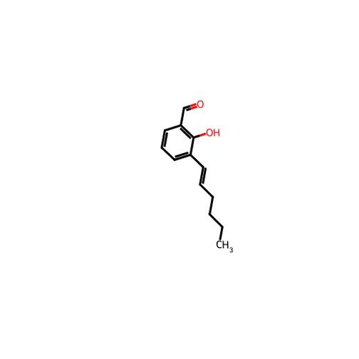 CCCCC=Cc1cccc(C=O)c1O